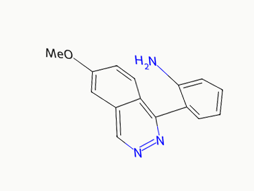 COc1ccc2c(-c3ccccc3N)nncc2c1